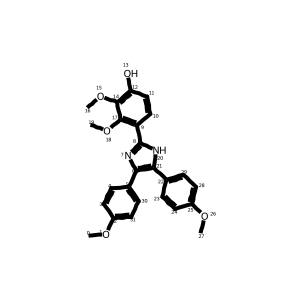 COc1ccc(-c2nc(-c3ccc(O)c(OC)c3OC)[nH]c2-c2ccc(OC)cc2)cc1